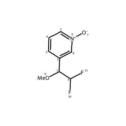 COC(c1ccc[n+]([O-])c1)C(F)F